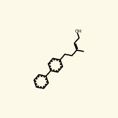 CC(=CCO)CCc1ccc(-c2ccccc2)cc1